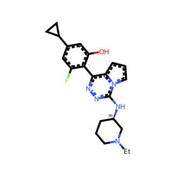 CCN1CCC[C@@H](Nc2nnc(-c3c(O)cc(C4CC4)cc3F)c3cccn23)C1